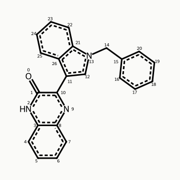 O=c1[nH]c2ccccc2nc1-c1cn(Cc2ccccc2)c2ccccc12